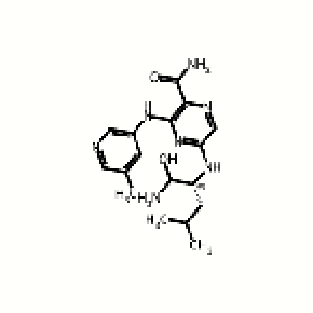 Cc1cncc(Nc2nc(N[C@H](CC(C)C)C(N)O)cnc2C(N)=O)c1